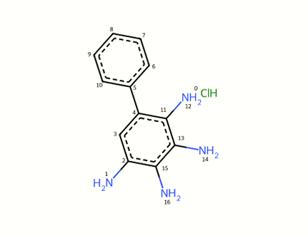 Cl.Nc1cc(-c2ccccc2)c(N)c(N)c1N